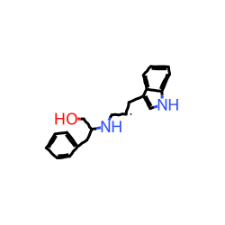 OCC(Cc1ccccc1)NC[CH]Cc1c[nH]c2ccccc12